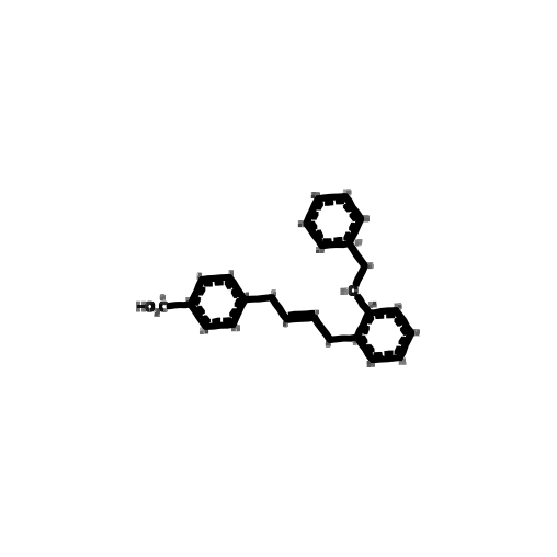 O=C(O)c1ccc(CC=CCc2ccccc2OCc2ccccc2)cc1